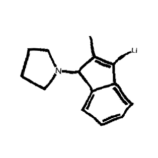 [Li][C]1=C(C)C(N2CCCC2)c2ccccc21